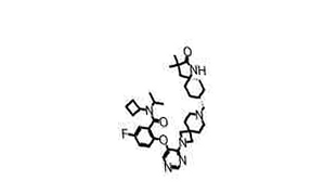 CC(C)N(C(=O)c1cc(F)ccc1Oc1cncnc1N1CC2(CCN(C[C@H]3CC[C@]4(CC3)CC(C)(C)C(=O)N4)CC2)C1)C1CCC1